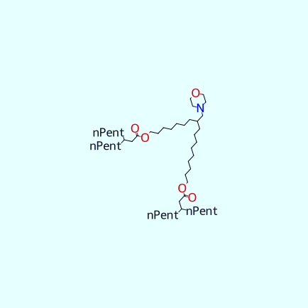 CCCCCC(CCCCC)CC(=O)OCCCCCCCCCC(CCCCCCCOC(=O)CC(CCCCC)CCCCC)CN1CCOCC1